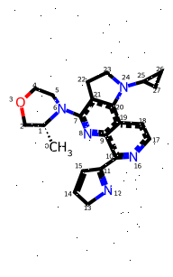 C[C@@H]1COCCN1c1nc2c(C3=NCC=C3)nccc2c2c1CCN2C1CC1